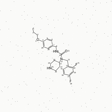 CCCOc1ccc(CNC(=O)N(Cc2ccc(F)cc2F)C2CCNCC2)cc1